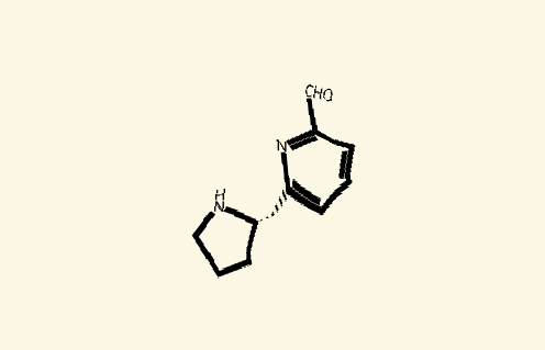 O=Cc1cccc([C@@H]2CCCN2)n1